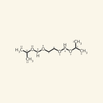 CC(C)OPOCCOPOC(C)C